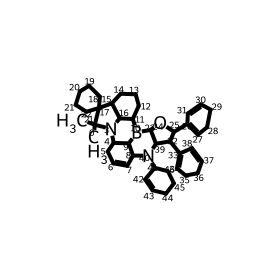 CC1(C)N2C3CC=CC4C3B(C3CCCC(C32)C12CCCCC2)C1OC(C2=CCCC=C2)C(C2=CCCC=C2)C1N4C1C=CCCC1